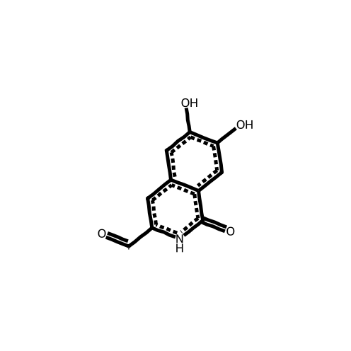 O=[C]c1cc2cc(O)c(O)cc2c(=O)[nH]1